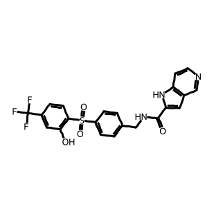 O=C(NCc1ccc(S(=O)(=O)c2ccc(C(F)(F)F)cc2O)cc1)c1cc2cnccc2[nH]1